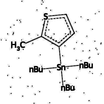 CCC[CH2][Sn]([CH2]CCC)([CH2]CCC)[c]1ccsc1C